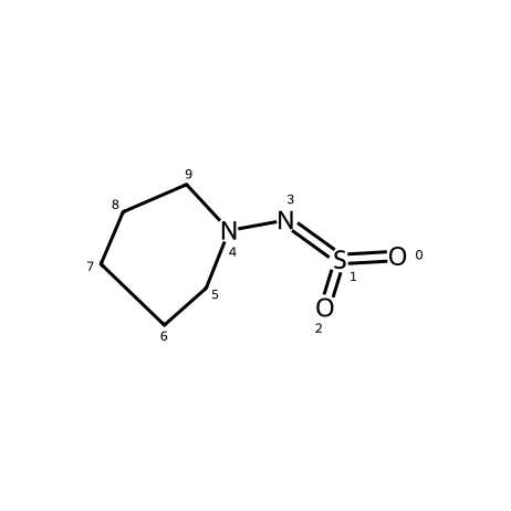 O=S(=O)=NN1CCCCC1